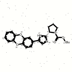 CC(C)(C)OC(=O)N1CCC[C@H]1c1ncc(-c2ccc3c(c2)Oc2ccccc2O3)[nH]1